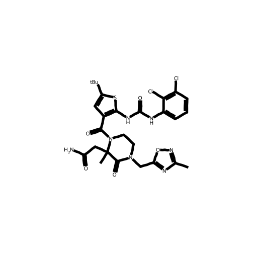 Cc1noc(CN2CCN(C(=O)c3cc(C(C)(C)C)sc3NC(=O)Nc3cccc(Cl)c3Cl)C(C)(CC(N)=O)C2=O)n1